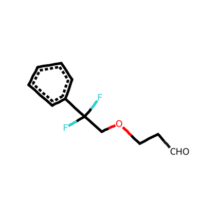 O=CCCOCC(F)(F)c1ccccc1